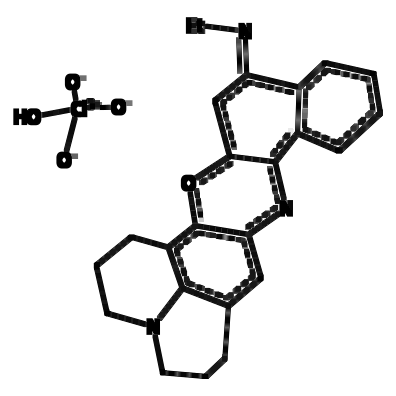 CCN=c1cc2oc3c4c5c(cc3nc-2c2ccccc12)CCCN5CCC4.[O-][Cl+3]([O-])([O-])O